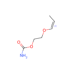 C/C=C\OCCOC(N)=O